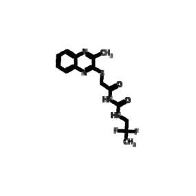 Cc1nc2ccccc2nc1SCC(=O)NC(=O)NCC(C)(F)F